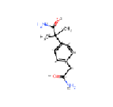 CC(C)(C(N)=O)c1ccc(CC(N)=O)cc1